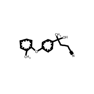 Cc1ccccc1Oc1ccc(C(C)(O)CCC#N)cc1